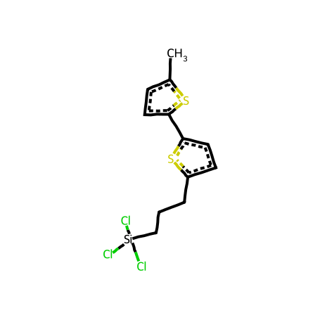 Cc1ccc(-c2ccc(CCC[Si](Cl)(Cl)Cl)s2)s1